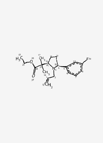 C=CCN1[C@H](c2cccc(F)c2)CC[C@@H]1C(C)(C)C(=O)OCC